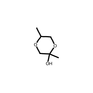 CC1COC(C)(O)CO1